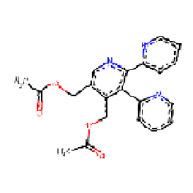 CC(=O)OCc1cnc(-c2ccccn2)c(-c2ccccn2)c1COC(C)=O